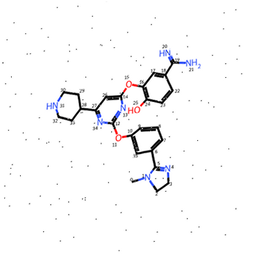 CN1CCN=C1c1cccc(Oc2nc(Oc3cc(C(=N)N)ccc3O)cc(C3CCNCC3)n2)c1